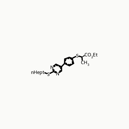 CCCCCCCSc1ncc(-c2ccc(S[C@H](C)C(=O)OCC)cc2)cn1